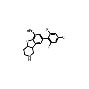 CCCc1cc(-c2c(F)cc(Cl)cc2F)cc2c1OC1CCNCC21